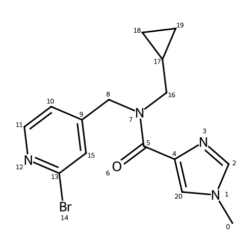 Cn1cnc(C(=O)N(Cc2ccnc(Br)c2)CC2CC2)c1